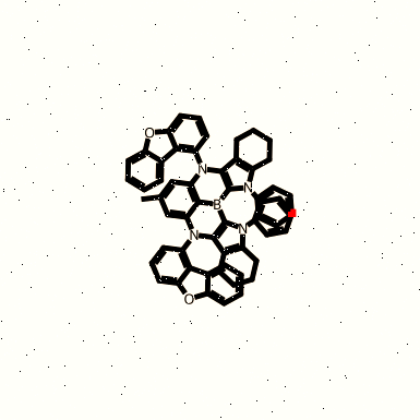 Cc1cc2c3c(c1)N(c1cccc4oc5ccccc5c14)c1c4c(n(-c5ccccc5)c1B3c1c(c3c(n1-c1ccccc1)CCCC3)N2c1cccc2oc3ccccc3c12)CCCC4